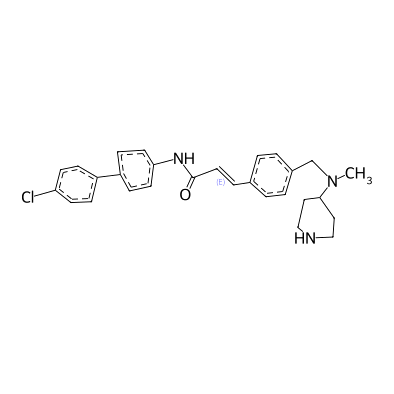 CN(Cc1ccc(/C=C/C(=O)Nc2ccc(-c3ccc(Cl)cc3)cc2)cc1)C1CCNCC1